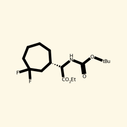 CCOC(=O)C(NC(=O)OC(C)(C)C)[C@H]1CCCCC(F)(F)C1